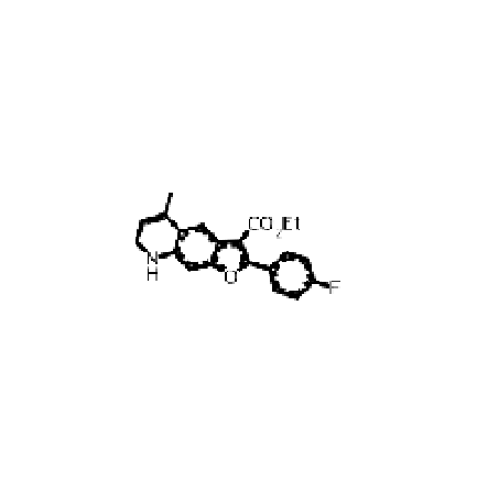 CCOC(=O)c1c(-c2ccc(F)cc2)oc2cc3c(cc12)C(C)=CCN3